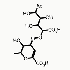 CC(=O)C(O)C(O)C(O)C(OOC1C=C(C(=O)O)OC(C)C1O)C(=O)O